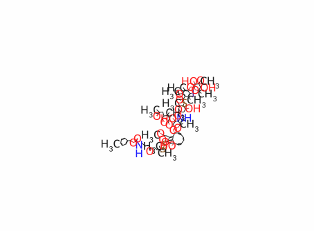 COC(=O)CC1=C2/C(=C/CSSC(C)(C)CCC(=O)CCCNC(=O)OCc3ccc(C)cc3)[C@](O)(C#C/C=C\C#C[C@@H]2OC2OC(C)C(NOC3CC(O)C(SC(=O)c4c(C)c(I)c(OC5OC(C)C(O)C(OC)C5O)c(C)c4OC)C(C)O3)C(O)C2OC2CC(C)C(CC(C)=O)CO2)CC1=O